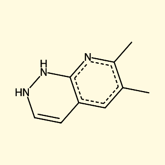 Cc1cc2c(nc1C)NNC=C2